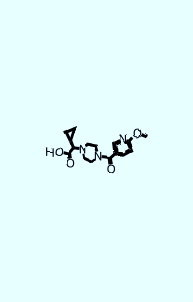 COc1ccc(C(=O)N2CCN(C(C(=O)O)C3CC3)CC2)cn1